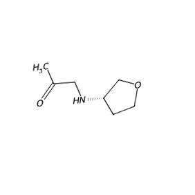 CC(=O)CN[C@H]1CCOC1